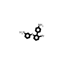 CC(C)c1cccc(Sc2cccc(N)c2)c1-c1ccc(N)cc1